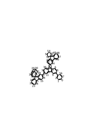 c1ccc(-c2ccc3c(c2)c2cc(-c4ccc5c(c4)C4(c6ccccc6-5)C5CC6CC(C5)CC4C6)ccc2n3-c2ccc3c(c2)-c2ccccc2C32CCCC2)cc1